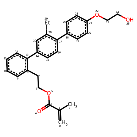 C=C(C)C(=O)OCCc1ccccc1-c1ccc(-c2ccc(OCCO)cc2)c(CC)c1